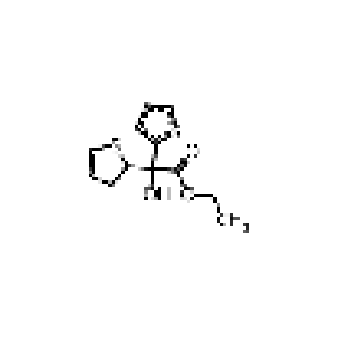 CCOC(=O)C(O)(c1cccs1)C1CC=CS1